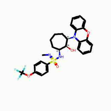 CN=S(=O)(N[C@H]1CCCC[C@@H](N2c3ccccc3Oc3ccccc32)[C@H]1O)c1ccc(OC(F)(F)F)cc1